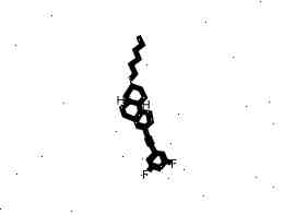 CCCCCCC[C@@H]1CC[C@@H]2c3ccc(C#Cc4cc(F)cc(F)c4)cc3CC[C@@H]2C1